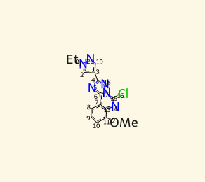 CCn1cc(-c2nc3c4cccc(OC)c4nc(Cl)n3n2)cn1